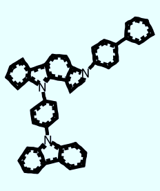 c1ccc(-c2ccc(-n3ccc4c3ccc3c5ccccc5n(-c5ccc(-n6c7ccccc7c7ccccc76)cc5)c34)cc2)cc1